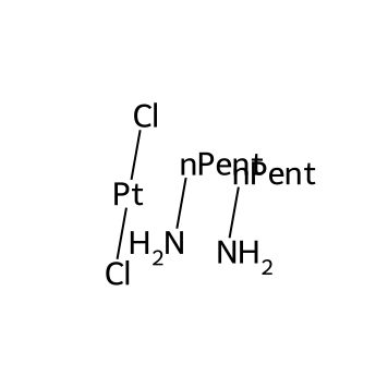 CCCCCN.CCCCCN.[Cl][Pt][Cl]